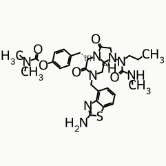 CCCN(C(=O)NC)N1CC(=O)N2[C@@H](Cc3ccc(OC(=O)N(C)C)cc3)C(=O)N(Cc3cccc4sc(N)nc34)C[C@@H]21